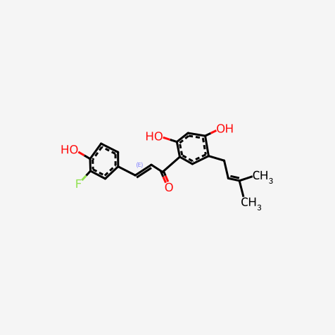 CC(C)=CCc1cc(C(=O)/C=C/c2ccc(O)c(F)c2)c(O)cc1O